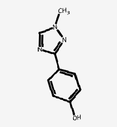 Cn1cnc(-c2ccc(O)cc2)n1